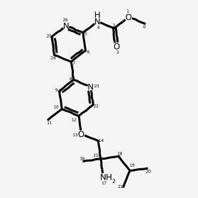 COC(=O)Nc1cc(-c2cc(C)c(OCC(C)(N)CC(C)C)cn2)ccn1